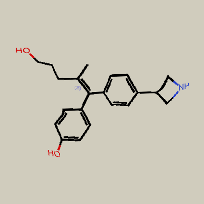 C/C(CCCO)=C(/c1ccc(O)cc1)c1ccc(C2CNC2)cc1